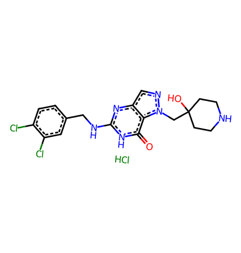 Cl.O=c1[nH]c(NCc2ccc(Cl)c(Cl)c2)nc2cnn(CC3(O)CCNCC3)c12